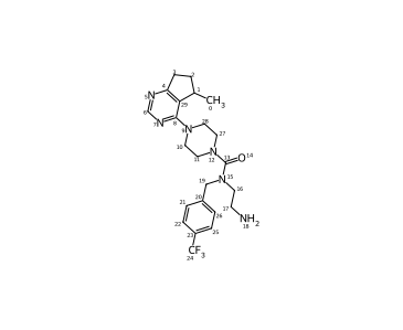 CC1CCc2ncnc(N3CCN(C(=O)N(CCN)Cc4ccc(C(F)(F)F)cc4)CC3)c21